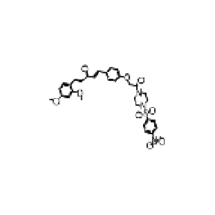 COc1ccc(C=CC(=O)C=Cc2ccc(OCC(=O)N3CCN(S(=O)(=O)c4ccc([N+](=O)[O-])cc4)CC3)cc2)c(OC)c1